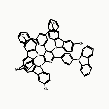 N#Cc1ccc2c(c1)c1cc(C#N)ccc1n2-c1nc(-c2ccc(-n3c4ccccc4c4ccccc43)cc2)c(-n2c3ccc(C#N)cc3c3cc(C#N)ccc32)c(-c2cc(-c3ccccc3)cc(-c3ccccc3)c2)c1-n1c2ccc(C#N)cc2c2cc(C#N)ccc21